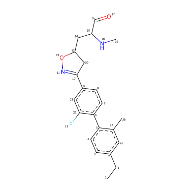 CCc1ccc(-c2ccc(C3=NOC(CC(C=O)NC)C3)cc2F)c(C)c1